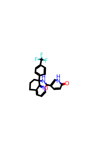 O=C(NC1(c2ccc(C(F)(F)F)cc2)CCCc2cccnc21)c1ccc(=O)[nH]c1